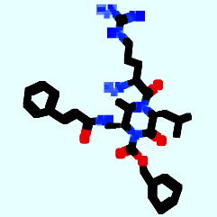 CC(C)C[C@@H](NC(=O)[C@@H](N)CCCNC(=N)N)C(=O)N(C(=O)OCc1ccccc1)[C@H](CNC(=O)/C=C/c1ccccc1)C(C)C